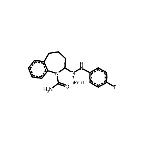 CCC[C@@H](C)N(Nc1ccc(F)cc1)C1CCCc2ccccc2N1C(N)=O